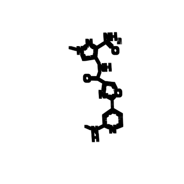 CNc1cc(-c2nc(C(=O)Nc3cn(C)nc3C(N)=O)co2)ccn1